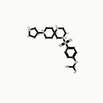 O=S(=O)(c1ccc(OC(F)F)cc1)N1CCOC2(CCN(C3CCOC3)CC2)C1